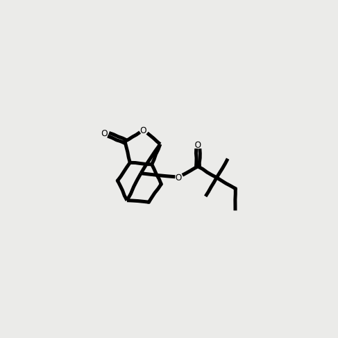 CCC(C)(C)C(=O)OC1C2CCC3C(C2)C(=O)OC31